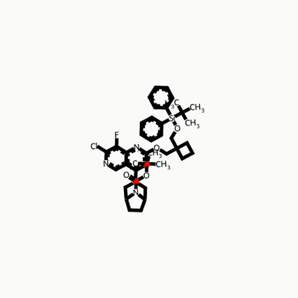 CC(C)(C)OC(=O)N1C2CCC1CN(c1nc(OCC3(CO[Si](c4ccccc4)(c4ccccc4)C(C)(C)C)CCC3)nc3c(F)c(Cl)ncc13)C2